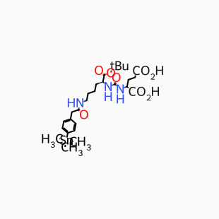 CC(C)(C)OC(=O)[C@H](CCCCNC(=O)Cc1cc[c]([Sn]([CH3])([CH3])[CH3])cc1)NC(=O)N[C@@H](CCC(=O)O)C(=O)O